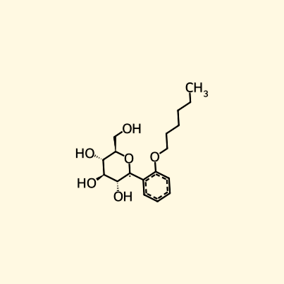 CCCCCCOc1ccccc1[C]1O[C@H](CO)[C@@H](O)[C@H](O)[C@H]1O